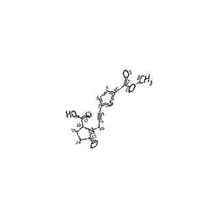 COC(=O)c1ccc(C#CCN2C(=O)CCC2C(=O)O)s1